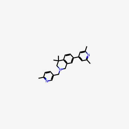 Cc1ccc(CN2Cc3cc(-c4cc(C)nc(C)c4)ccc3C(C)(C)C2)cn1